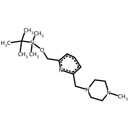 CN1CCN(Cc2cccc(CO[Si](C)(C)C(C)(C)C)n2)CC1